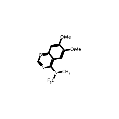 COc1cc2ncnc(N(C)C(F)(F)F)c2cc1OC